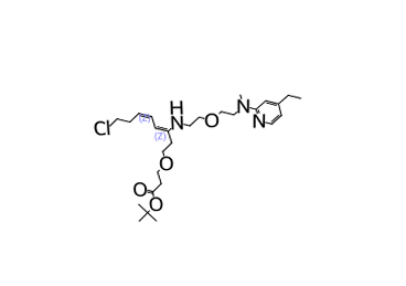 CCc1ccnc(N(C)CCOCCN/C(=C\C=C/CCCl)CCOCCC(=O)OC(C)(C)C)c1